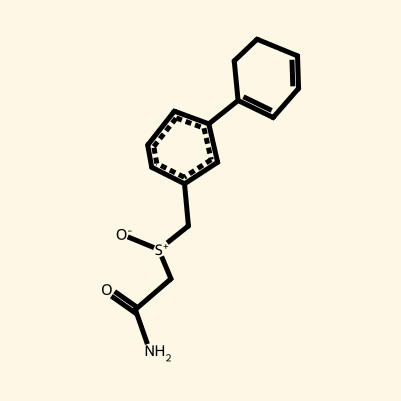 NC(=O)C[S+]([O-])Cc1cccc(C2=CC=CCC2)c1